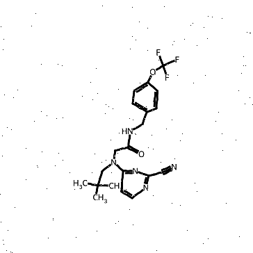 CC(C)(C)CN(CC(=O)NCc1ccc(OC(F)(F)F)cc1)c1ccnc(C#N)n1